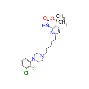 CC1(C)OC(=O)Nc2nc(CCCCCN3CCN(c4cccc(Cl)c4Cl)CC3)ccc21